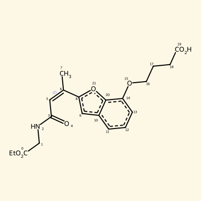 CCOC(=O)CNC(=O)/C=C(/C)c1cc2cccc(OCCCC(=O)O)c2o1